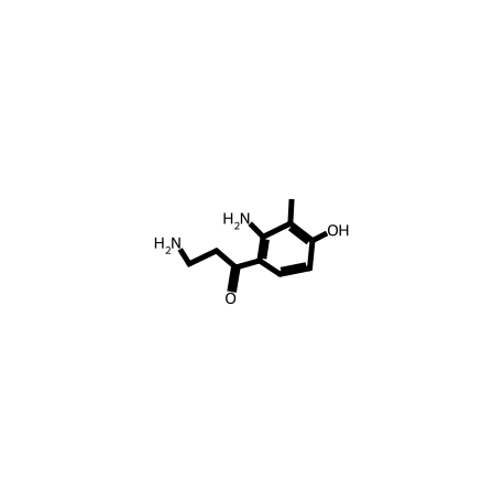 Cc1c(O)ccc(C(=O)CCN)c1N